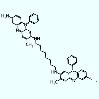 CC1=CC2=Nc3cc(N)ccc3N(c3ccccc3)C2C=C1NCCCCCCCCNc1cc2c(cc1C)nc1cc(N)ccc1[n+]2-c1ccccc1